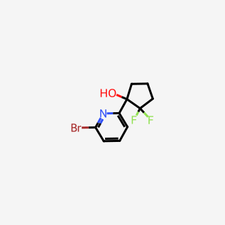 OC1(c2cccc(Br)n2)CCCC1(F)F